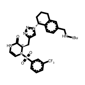 CC(C)(C)NCc1ccc2c(c1)CCC[C@H]2n1cc(C[C@@H]2C(=O)NC=CN2S(=O)(=O)c2cccc(C(F)(F)F)c2)nn1